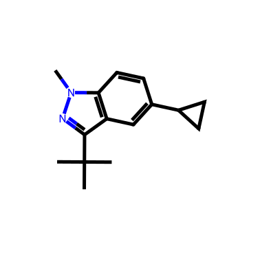 Cn1nc(C(C)(C)C)c2cc(C3CC3)ccc21